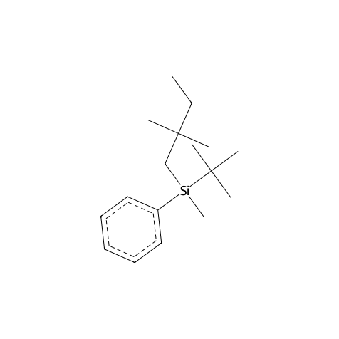 CCC(C)(C)C[Si](C)(c1ccccc1)C(C)(C)C